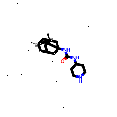 C[C@]12CC3CC(NC(=O)NC4CCNCC4)(C1)C[C@@](C)(C3)C2